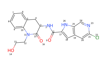 O=C(NC1Cc2ccccc2N(CCO)C1=O)c1cc2cc(Cl)ncc2[nH]1